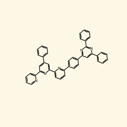 c1ccc(-c2cc(-c3ccccn3)nc(-c3cccc(-c4ccc(-c5cc(-c6ccccc6)nc(-c6ccccc6)n5)cc4)n3)c2)cc1